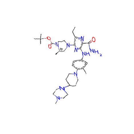 CCc1nc(C(N)=O)c(Nc2ccc(N3CCC(N4CCN(C)CC4)CC3)c(C)c2)nc1N1CCN(C(=O)OC(C)(C)C)[C@H](C)C1